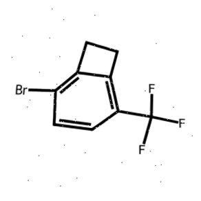 FC(F)(F)c1ccc(Br)c2c1CC2